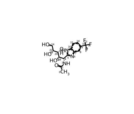 CC(=O)N[C@@H](c1nc2cc(C(F)(F)F)ccc2[nH]1)[C@@H](O)[C@@H](O)[C@H](O)CO